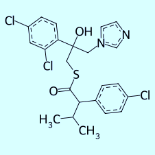 CC(C)C(C(=O)SCC(O)(Cn1ccnc1)c1ccc(Cl)cc1Cl)c1ccc(Cl)cc1